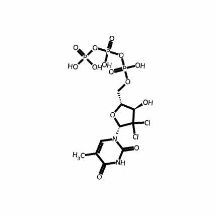 Cc1cn([C@@H]2O[C@H](COP(=O)(O)OP(=O)(O)OP(=O)(O)O)[C@@H](O)C2(Cl)Cl)c(=O)[nH]c1=O